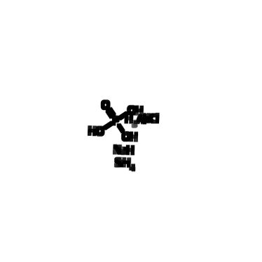 Cl.O=P(O)(O)O.[AlH3].[NaH].[SiH4]